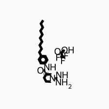 CCCCCCCCCCc1ccc(NC(=O)[C@@H]2CCCN(C(=N)N)C2)cc1.O=C(O)C(F)(F)F